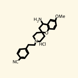 COc1ccc2c(c1)C(N)CC1(CCN(CCc3ccc(C#N)cc3)CC1)O2.Cl